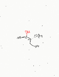 CCC[C@@H](O)[C@@H](CC(C)C)C(=O)O